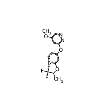 COc1cnnc(Oc2ccnc(OC(C)C(F)(F)F)c2)c1